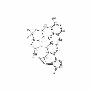 Cn1nnn(-c2cc(Nc3ncc(F)c(NC4CC5CC(O)CN5C(C)(C)C4)n3)c(F)cc2C2CC2)c1=O